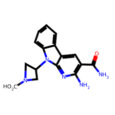 NC(=O)c1cc2c3ccccc3n(C3CN(C(=O)O)C3)c2nc1N